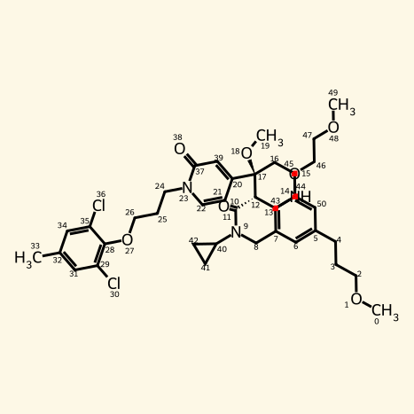 COCCCc1cc(CN(C(=O)[C@H]2CNCC[C@@]2(OC)c2ccn(CCCOc3c(Cl)cc(C)cc3Cl)c(=O)c2)C2CC2)cc(OCCOC)c1